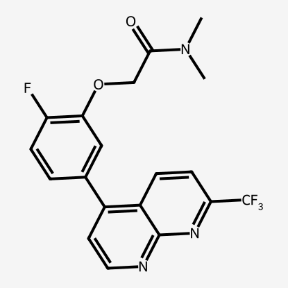 CN(C)C(=O)COc1cc(-c2ccnc3nc(C(F)(F)F)ccc23)ccc1F